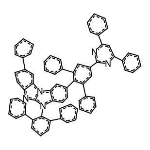 c1ccc(-c2ccc3nc4n(-c5c(-c6ccccc6)cccc5-c5ccccc5)c5ccc(-c6c(-c7ccccc7)cc(-c7nc(-c8ccccc8)cc(-c8ccccc8)n7)cc6-c6ccccc6)cc5n4c3c2)cc1